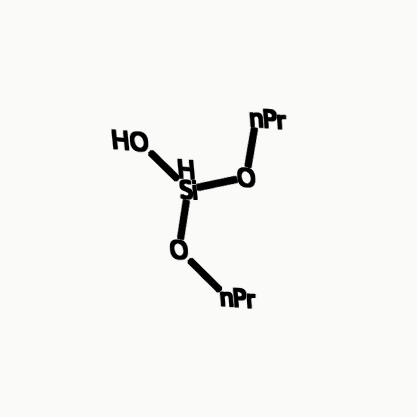 CCCO[SiH](O)OCCC